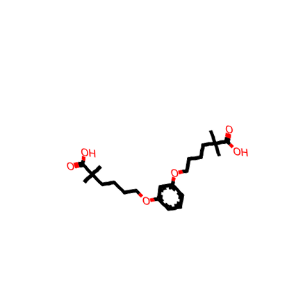 CC(C)(CCCCOc1cccc(OCCCCC(C)(C)C(=O)O)c1)C(=O)O